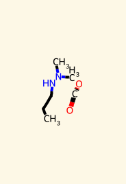 CCCNN(C)C.O=C=O